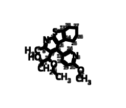 C=C(O)C(OCC)c1c(C)nc2sc3c(c2c1-c1ccc(OC)nc1)CCCC3